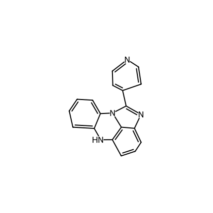 c1ccc2c(c1)Nc1cccc3nc(-c4ccncc4)n-2c13